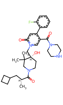 C[C@H](CC1CCC1)C(=O)N1CC[C@](O)(Cn2cc(C(=O)N3CCNCC3)c(-c3ccccc3F)cc2=O)C(C)(C)C1